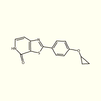 O=c1[nH]ccc2nc(-c3ccc(OC4CC4)cc3)sc12